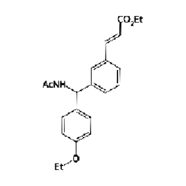 CCOC(=O)/C=C/c1cccc(C(NC(C)=O)c2ccc(OCC)cc2)c1